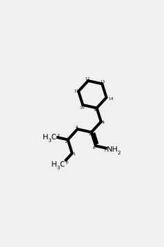 CCC(C)C/C(=C/N)CC1CCCCC1